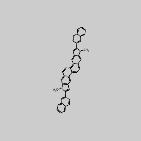 Cn1c(-c2ccc3ccccc3c2)cc2cc3c(ccc4c5cc6cc(-c7ccc8ccccc8c7)n(C)c6cc5ccc34)cc21